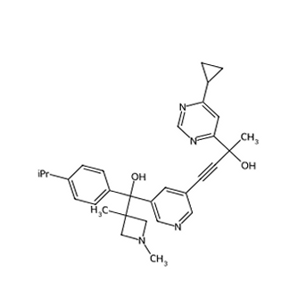 CC(C)c1ccc(C(O)(c2cncc(C#CC(C)(O)c3cc(C4CC4)ncn3)c2)C2(C)CN(C)C2)cc1